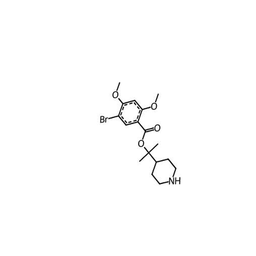 COc1cc(OC)c(C(=O)OC(C)(C)C2CCNCC2)cc1Br